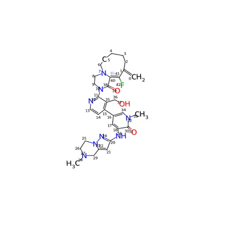 C=C1CCCCCN2CCN(c3nccc(-c4cc(Nc5cc6n(n5)CCN(C)C6)c(=O)n(C)c4)c3CO)C(=O)/C2=C/1F